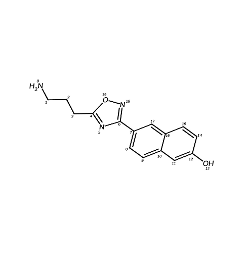 NCCCc1nc(-c2ccc3cc(O)ccc3c2)no1